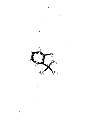 CC(C)(C)c1nccnc1Br